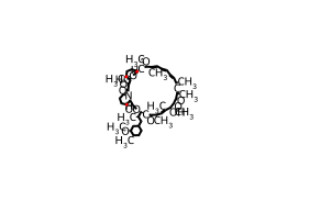 COC1CC(C[C@@H](C)[C@@H]2CC(=O)[C@H](C)/C=C(\C)[C@@H](O)C(OC)C(=O)C(C)C[C@H](C)/C=C/C=C/C=C(\C)[C@@H](OC)C[C@@H]3CC[C@@H](C)[C@@](O)(O3)C(=O)C(=O)N3CCCC[C@H]3C(=O)O2)CC[C@H]1C